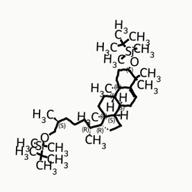 C[C@@H](CCC[C@@H](C)[C@H]1CC[C@H]2[C@@H]3CC=C4C(C)(C)[C@@H](O[Si](C)(C)C(C)(C)C)CC[C@]4(C)[C@H]3CC[C@]12C)CO[Si](C)(C)C(C)(C)C